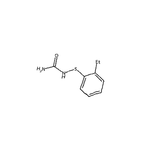 CCc1ccccc1SNC(N)=O